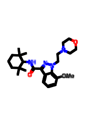 COc1cccc2c(C(=O)NC3C(C)(C)CCCC3(C)C)nn(CCN3CCOCC3)c12